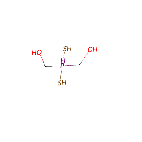 OC[PH](S)(S)CO